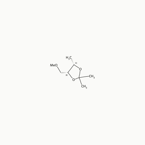 COC[C@H]1OC(C)(C)O[C@H]1C